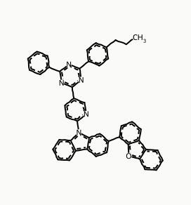 CCCc1ccc(-c2nc(-c3ccccc3)nc(-c3ccc(-n4c5ccccc5c5ccc(-c6cccc7c6oc6ccccc67)cc54)nc3)n2)cc1